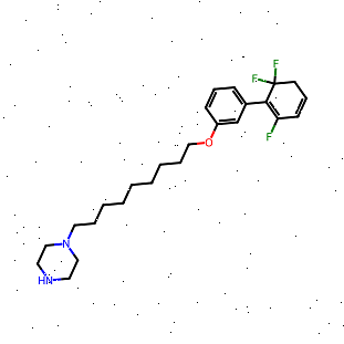 FC1=C(c2cccc(OCCCCCCCCCN3CCNCC3)c2)C(F)(F)CC=C1